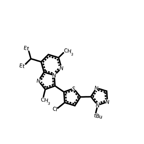 CCC(CC)c1cc(C)nn2c(-c3sc(-c4ncnn4C(C)(C)C)cc3Cl)c(C)nc12